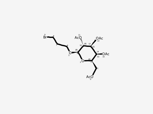 CC(=O)OC[C@H]1O[C@@H](OCCCBr)[C@H](OC(C)=O)[C@@H](OC(C)=O)[C@H]1OC(C)=O